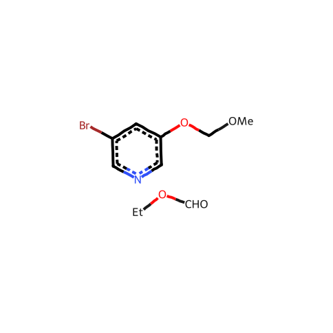 CCOC=O.COCOc1cncc(Br)c1